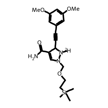 [2H]N1C(C#Cc2cc(OC)cc(OC)c2)C(C(N)=O)=CN1COCC[Si](C)(C)C